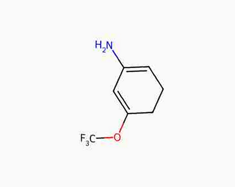 NC1=CCCC(OC(F)(F)F)=C1